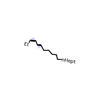 CC/C=C\C=C\CCCCCCCCCCCC